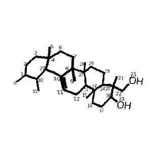 CC1CCC2(C)CCC3(C)C(=CCC4C5(C)CCC(O)C(C)(CO)C5CCC43C)C2C1C